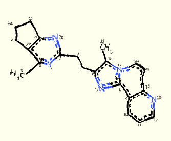 Cc1nc(CCc2nc3c4cccnc4ccn3c2C)nc2c1CCC2